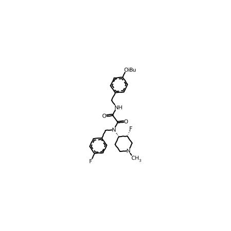 CC(C)COc1ccc(CNC(=O)C(=O)N(Cc2ccc(F)cc2)[C@H]2CCN(C)C[C@H]2F)cc1